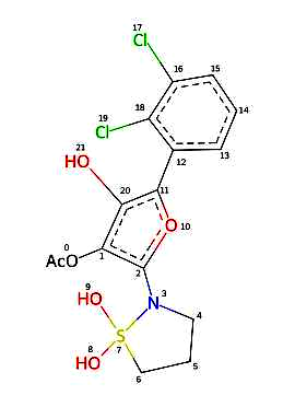 CC(=O)Oc1c(N2CCCS2(O)O)oc(-c2cccc(Cl)c2Cl)c1O